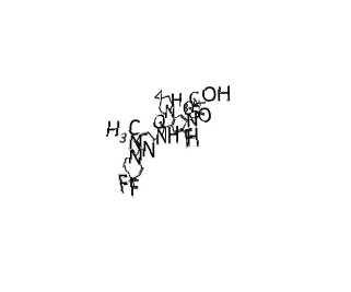 Cc1cc(NC(=O)c2cc(F)c(NS(=O)(=O)[C@@H](C)CO)cc2N2CCC3(CC2)CC3)nc(N2CCC(F)(F)CC2)n1